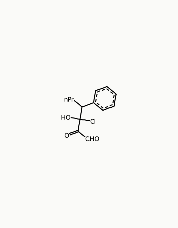 CCCC(c1ccccc1)C(O)(Cl)C(=O)C=O